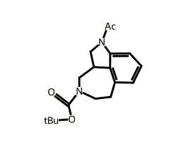 CC(=O)N1CC2CN(C(=O)OC(C)(C)C)CCc3cccc1c32